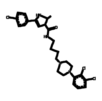 CC1NC(c2ccc(Cl)cc2)=CC1C(=O)NCCCCN1CCN(c2cccc(Cl)c2Cl)CC1